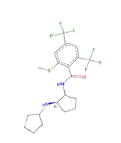 CSc1cc(C(F)(F)F)cc(C(F)(F)F)c1C(=O)NC1CCC[C@H]1NC1CCCC1